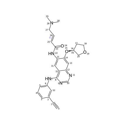 C#Cc1cccc(Nc2ncnc3cc(O[C@H]4CCOC4)c(NC(=O)/C=C/CN(C)C)cc23)c1